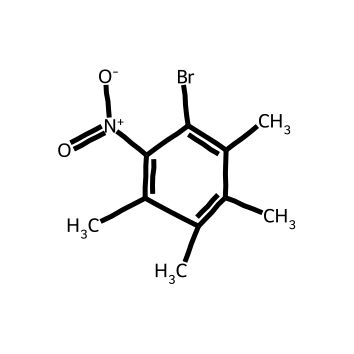 Cc1c(C)c(C)c([N+](=O)[O-])c(Br)c1C